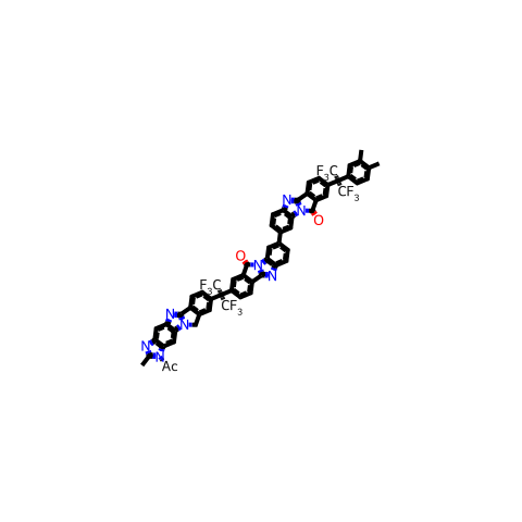 CC(=O)n1c(C)nc2cc3nc4n(c3cc21)Cc1cc(C(c2ccc3c(c2)C(=O)n2c-3nc3ccc(-c5ccc6nc7n(c6c5)C(=O)c5cc(C(c6ccc(C)c(C)c6)(C(F)(F)F)C(F)(F)F)ccc5-7)cc32)(C(F)(F)F)C(F)(F)F)ccc1-4